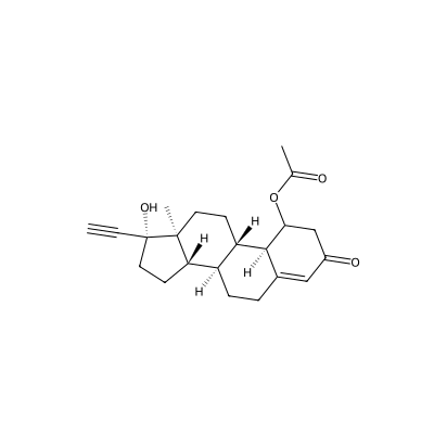 C#C[C@]1(O)CC[C@H]2[C@@H]3CCC4=CC(=O)CC(OC(C)=O)[C@@H]4[C@H]3CC[C@@]21C